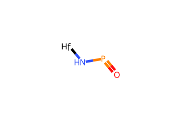 O=P[NH][Hf]